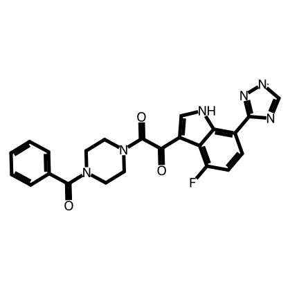 O=C(C(=O)N1CCN(C(=O)c2ccccc2)CC1)c1c[nH]c2c(C3=N[N]C=N3)ccc(F)c12